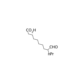 CCCC(C=O)CCCCCCCC(=O)O